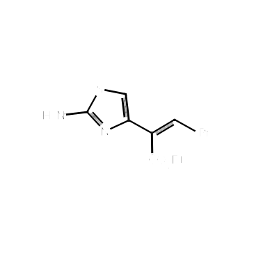 CCOC(=O)C(=CC(C)C)c1csc(N)n1